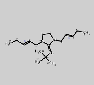 CC/C=C/CN1CCN(C/C=C/CC)C1=NC(C)(C)C